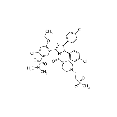 CCOc1cc(Cl)c(S(=O)(=O)N(C)C)cc1C1=N[C@@H](c2ccc(Cl)cc2)[C@@H](c2ccc(Cl)cc2)N1C(=O)N1CCN(CCS(C)(=O)=O)CC1